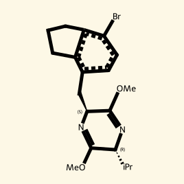 COC1=N[C@H](C(C)C)C(OC)=N[C@H]1Cc1ccc(Br)c2c1CCC2